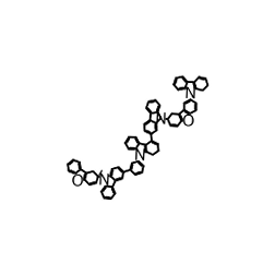 C[C@@]1(n2c3ccccc3c3cc(-c4cccc(-n5c6c(c7ccccc75)C(c5ccc7c8ccccc8n(C8C=Cc9oc%10ccc(-n%11c%12c(c%13ccccc%13%11)C=CCC%12)cc%10c9C8)c7c5)=CCC6)c4)ccc32)C=Cc2oc3ccccc3c2C1